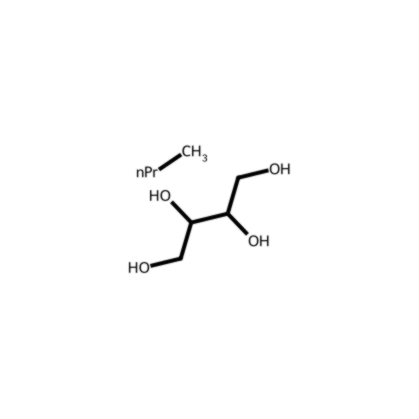 CCCC.OCC(O)C(O)CO